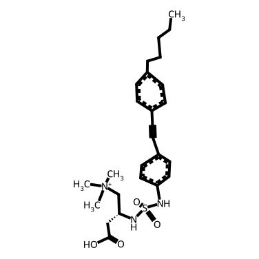 CCCCCc1ccc(C#Cc2ccc(NS(=O)(=O)N[C@H](CC(=O)O)C[N+](C)(C)C)cc2)cc1